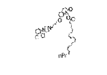 CCC/C=C\C=C/CC/C=C\C/C=C\C/C=C\CCCC(=O)OCN1C(=O)CCc2ccc(OCCCCN3CCN(c4cccc(Cl)c4Cl)CC3)cc21